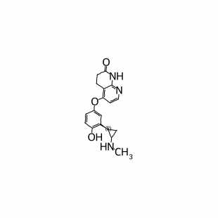 CNC1C[C@@H]1c1cc(Oc2ccnc3c2CCC(=O)N3)ccc1O